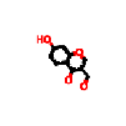 O=Cc1coc2cc(O)ccc2c1=O